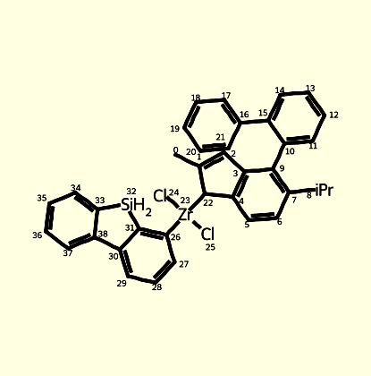 CC1=Cc2c(ccc(C(C)C)c2-c2ccccc2-c2ccccc2)[CH]1[Zr]([Cl])([Cl])[c]1cccc2c1[SiH2]c1ccccc1-2